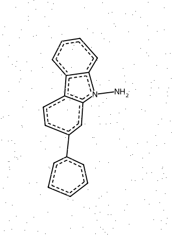 Nn1c2ccccc2c2ccc(-c3ccccc3)cc21